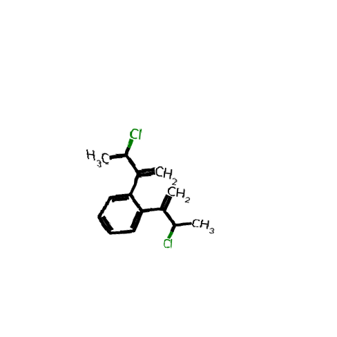 C=C(c1ccccc1C(=C)C(C)Cl)C(C)Cl